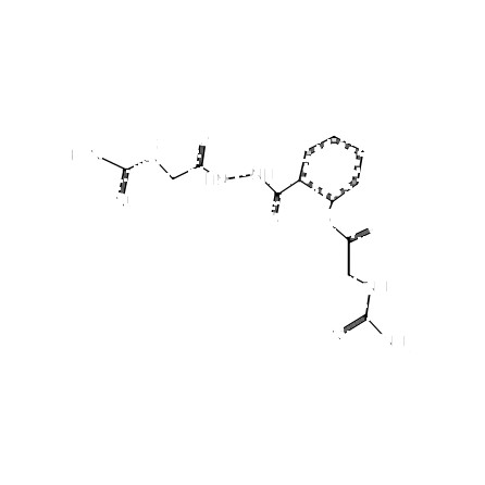 N=C(N)NCC(=O)NNC(=O)c1ccccc1OC(=O)CNC(=N)N